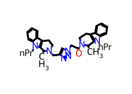 CCCn1c2c(c3ccccc31)CCN(Cc1cn(CC(=O)N3CCc4c(n(CCC)c5ccccc45)C3C)nn1)C2C